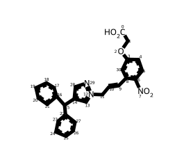 O=C(O)COc1ccc([N+](=O)[O-])c(C=CCn2cc(C(c3ccccc3)c3ccccc3)cn2)c1